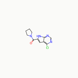 O=C(c1cc2c(Cl)ncnc2[nH]1)N1CCCC1